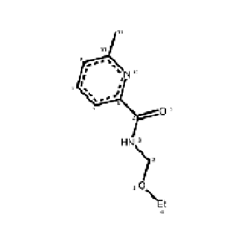 CCOCNC(=O)c1cccc(C)n1